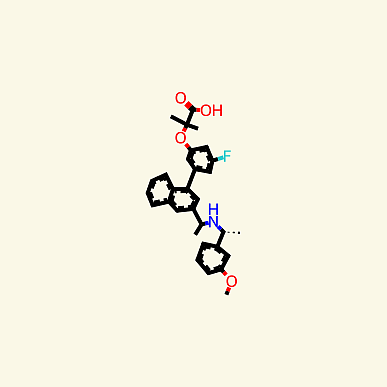 COc1cccc([C@@H](C)NC(C)c2cc(-c3cc(F)cc(OC(C)(C)C(=O)O)c3)c3ccccc3c2)c1